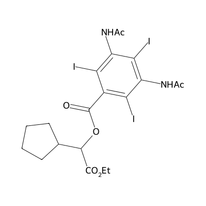 CCOC(=O)C(OC(=O)c1c(I)c(NC(C)=O)c(I)c(NC(C)=O)c1I)C1CCCC1